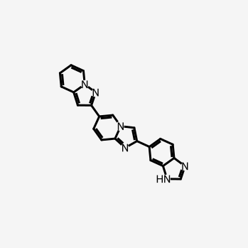 c1ccn2nc(-c3ccc4nc(-c5ccc6nc[nH]c6c5)cn4c3)cc2c1